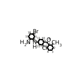 Cc1ccccc1C(=O)c1ccc(Nc2cc(Br)ccc2N)cc1Cl